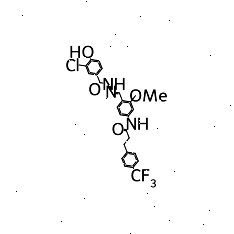 COc1cc(NC(=O)CCc2ccc(C(F)(F)F)cc2)ccc1C=NNC(=O)c1ccc(O)c(Cl)c1